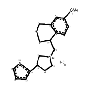 COc1ccc2c(c1)CCCC2CN1CCC(c2cccs2)C1.Cl